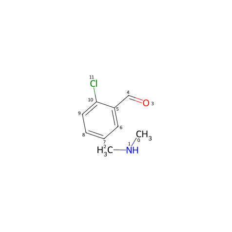 CNC.O=Cc1ccccc1Cl